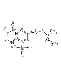 CO[C@@H](C)CNCc1cc(C(F)(F)F)c2ncc(I)c(=O)n2c1